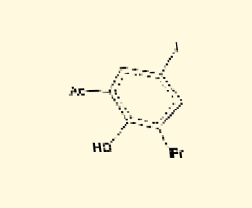 CC(=O)c1cc(I)cc(C(C)C)c1O